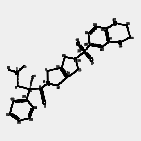 CN(C)C[C@@](C)(C(=O)N1CC2=C(C1)CN(S(=O)(=O)c1ccc3c(c1)OCCO3)C2)c1ccccc1